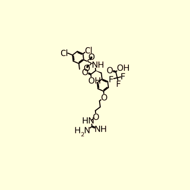 Cc1cc(Cl)cc(Cl)c1S(=O)(=O)N[C@@H](Cc1ccc(OCCCONC(=N)N)cc1)C(=O)O.O=C(O)C(F)(F)F